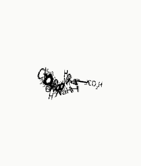 O=C(O)CCCNC(=O)CNc1ccc2c(c1)CC(NS(=O)(=O)c1ccc(Cl)cc1)C2.[NaH]